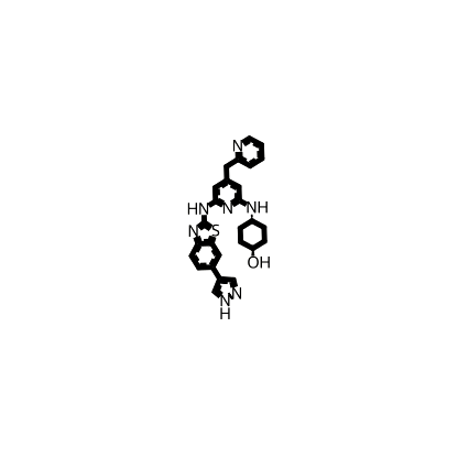 O[C@H]1CC[C@H](Nc2cc(Cc3ccccn3)cc(Nc3nc4ccc(-c5cn[nH]c5)cc4s3)n2)CC1